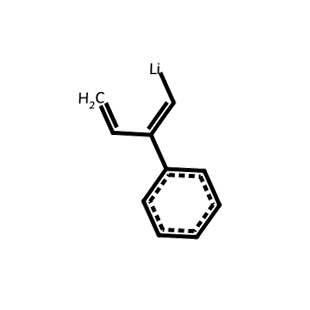 [Li]/[CH]=C(\C=C)c1ccccc1